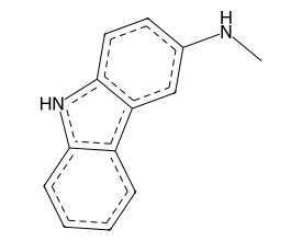 CNc1ccc2[nH]c3ccccc3c2c1